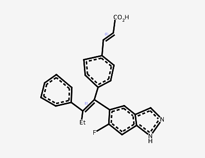 CC/C(=C(/c1ccc(/C=C/C(=O)O)cc1)c1cc2cn[nH]c2cc1F)c1ccccc1